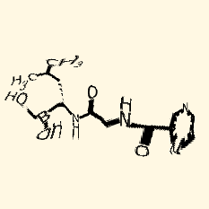 CC(C)C[C@H](NC(=O)CNC(=O)c1cnccn1)B(O)O